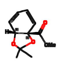 COC(=O)[C@]12C=CC=C[C@H]1OC(C)(C)O2